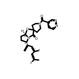 C=C(/C=C(F)\C=C(/C)F)[C@@H]1CC[C@H]2OC3(CCN(C(=O)c4ccnnc4)CC3)C(=O)N21